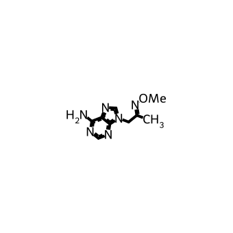 CON=C(C)Cn1cnc2c(N)ncnc21